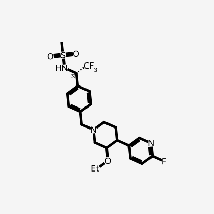 CCOC1CN(Cc2ccc([C@H](NS(C)(=O)=O)C(F)(F)F)cc2)CCC1c1ccc(F)nc1